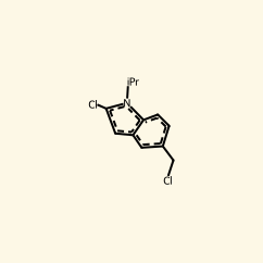 CC(C)n1c(Cl)cc2cc(CCl)ccc21